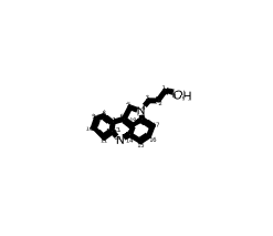 OCCCN1Cc2c3ccccc3nc3cccc1c23